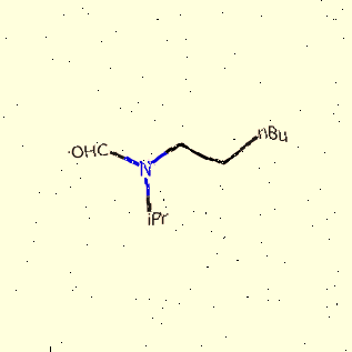 CCCCCCN([C]=O)C(C)C